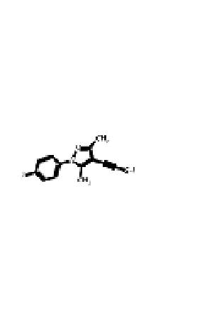 Cc1nn(-c2ccc(F)cc2)c(C)c1C#CS